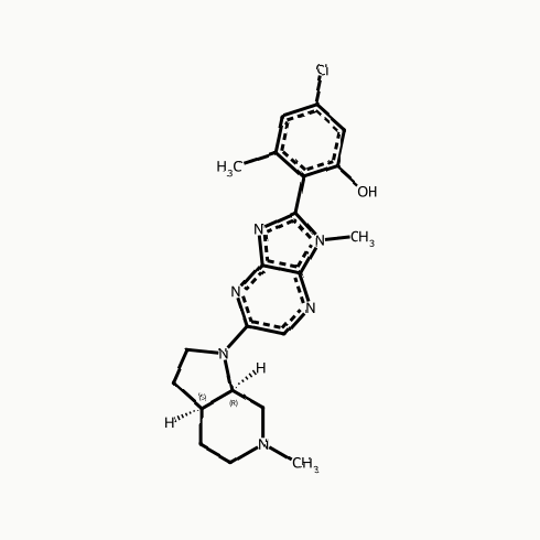 Cc1cc(Cl)cc(O)c1-c1nc2nc(N3CC[C@@H]4CCN(C)C[C@@H]43)cnc2n1C